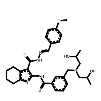 COc1ccc(/C=N/NC(=O)c2c(NC(=O)c3cccc(CN(CC(C)O)CC(C)O)c3)sc3c2CCCC3)cc1